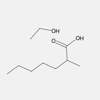 CCCCCC(C)C(=O)O.CCO